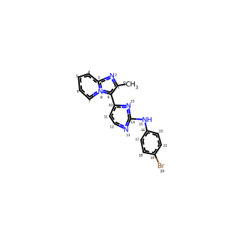 Cc1nc2ccccn2c1-c1ccnc(Nc2ccc(Br)cc2)n1